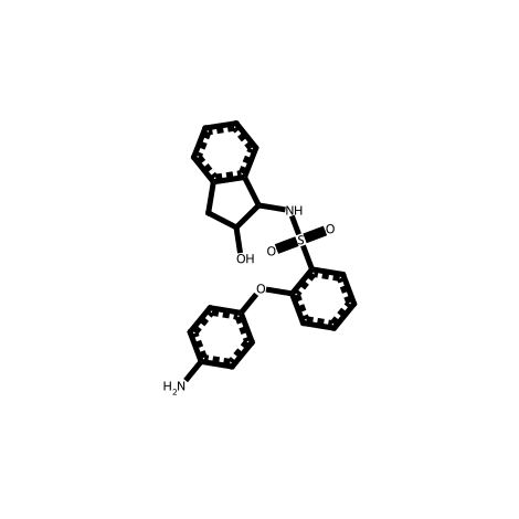 Nc1ccc(Oc2ccccc2S(=O)(=O)NC2c3ccccc3CC2O)cc1